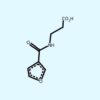 O=C(O)CCNC(=O)c1ccoc1